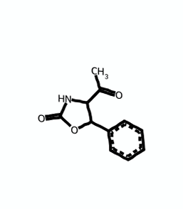 CC(=O)C1NC(=O)OC1c1ccccc1